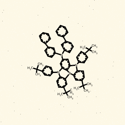 CC(C)(C)c1ccc(N2c3ccc(C(C)(C)C)cc3B3c4cc(C(C)(C)C)ccc4N(c4ccc(C(C)(C)C)cc4)c4cc(N(c5cccc(-c6ccccc6)c5)c5cccc(-c6ccccc6)c5)cc2c43)cc1